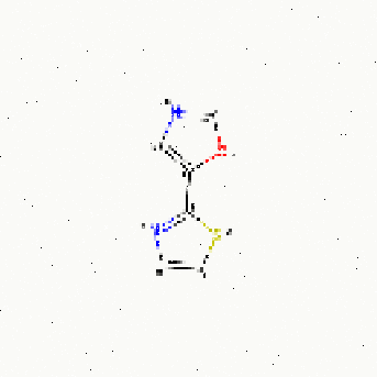 c1csc(-c2cnco2)n1